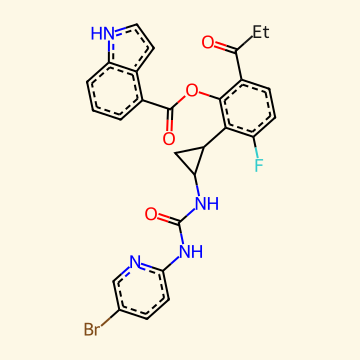 CCC(=O)c1ccc(F)c(C2CC2NC(=O)Nc2ccc(Br)cn2)c1OC(=O)c1cccc2[nH]ccc12